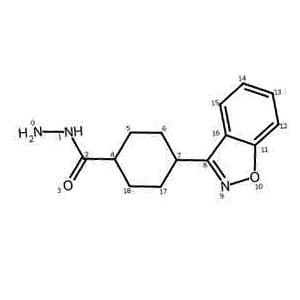 NNC(=O)C1CCC(c2noc3ccccc23)CC1